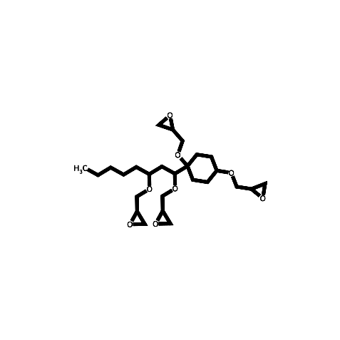 CCCCCC(CC(OCC1CO1)C1(OCC2CO2)CCC(OCC2CO2)CC1)OCC1CO1